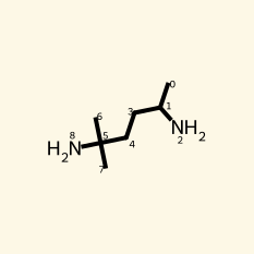 CC(N)CCC(C)(C)N